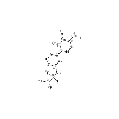 CNc1cnn(-c2cccc(OC(F)(F)C(F)F)c2)c(=O)c1Br